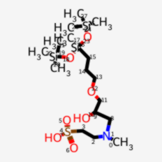 CN(CCS(=O)(=O)O)CC(O)COCCC[Si](C)(O[Si](C)(C)C)O[Si](C)(C)C